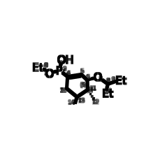 CCOP(O)C1=C[C@@H](OC(CC)CC)[C@H](C)C(C)C1